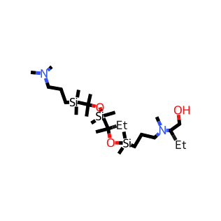 CCC(CO)N(C)CCC[Si](C)(C)OC(C)(CC)[Si](C)(C)OC(C)(C)[Si](C)(C)CCCN(C)C